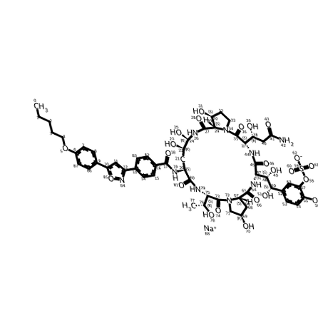 CCCCCOc1ccc(-c2cc(-c3ccc(C(=O)N[C@H]4C[C@@H](O)[C@@H](O)NC(=O)[C@@H]5[C@@H](O)CCN5C(=O)[C@H]([C@H](O)CC(N)=O)NC(=O)[C@H]([C@H](O)[C@@H](O)c5ccc(O)c(OS(=O)(=O)[O-])c5)NC(=O)[C@@H]5C[C@@H](O)CN5C(=O)[C@H]([C@@H](C)O)NC4=O)cc3)no2)cc1.[Na+]